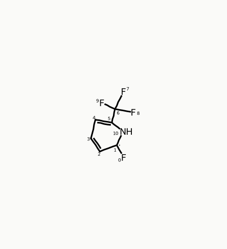 F[C]1C=CC=C(C(F)(F)F)N1